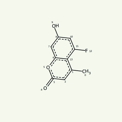 Cc1cc(=O)oc2cc(O)cc(F)c12